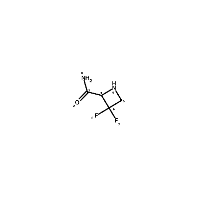 NC(=O)C1NCC1(F)F